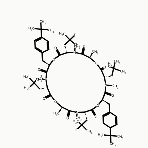 C[C@H]1OC(=O)[C@H](CC(C)(C)C)N(C)C(=O)[C@@H](CC2=CCC(C(C)(C)C)C=C2)OC(=O)[C@H](CC(C)(C)F)N(C)C(=O)[C@@H](C)OC(=O)[C@H](CC(C)(C)C)N(C)C(=O)[C@@H](Cc2ccc(C(C)(C)C)cc2)OC(=O)[C@H](CC(C)(C)F)N(C)C1=O